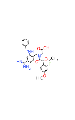 CCOC(C(=O)N(CC(=O)O)Cc1ccc(C(=N)N)cc1NCc1ccccc1)c1ccc(OC)cc1F